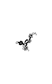 Cc1nsc(-c2nnc3n2CCN(C(=O)c2ccc(Cl)cc2)C3CCS(C)(=O)=O)n1